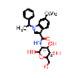 COc1ccc2c(C(=O)N[C@H]3C(O)OC(CO)[C@@H](O)C3O)cn(C(C)c3ccccc3)c2c1